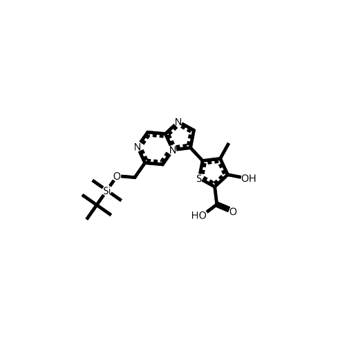 Cc1c(-c2cnc3cnc(CO[Si](C)(C)C(C)(C)C)cn23)sc(C(=O)O)c1O